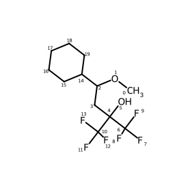 COC(CC(O)(C(F)(F)F)C(F)(F)F)C1CCCCC1